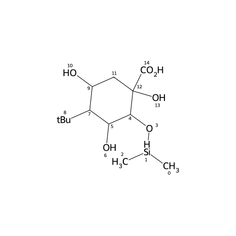 C[SiH](C)OC1C(O)C(C(C)(C)C)C(O)CC1(O)C(=O)O